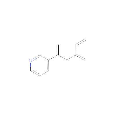 C=CC(=C)CC(=C)c1cccnc1